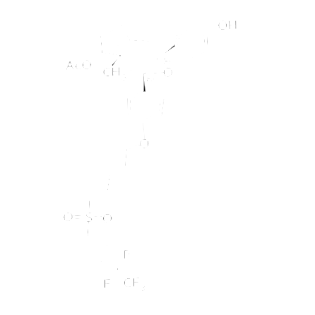 CC(=O)OC1CCC2C[C@]3(c4ccc(O)cc4)O[C@]3(c3ccc(OCCCCCS(=O)(=O)CCCC(F)(F)C(F)(F)F)cc3)C[C@@]21C